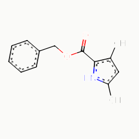 Cc1cc(C)c(C(=O)OCc2ccccc2)[nH]1